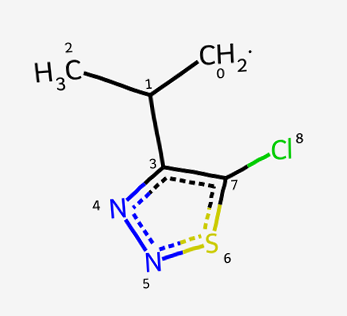 [CH2]C(C)c1nnsc1Cl